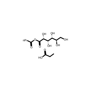 CCC(=O)O.CCCC(=O)OC(=O)[C@H](O)[C@@H](O)[C@H](O)[C@H](O)CO